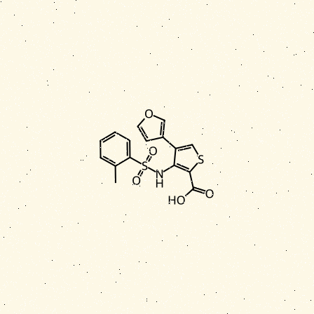 Cc1ccccc1S(=O)(=O)Nc1c(-c2ccoc2)csc1C(=O)O